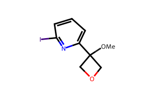 COC1(c2cccc(I)n2)COC1